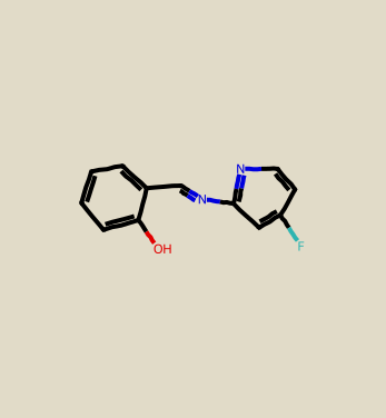 Oc1ccccc1C=Nc1cc(F)ccn1